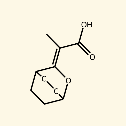 CC(C(=O)O)=C1OC2CCC1CC2